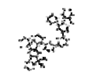 CC1(C)c2ccccc2C2C=C3C(=CC21)c1c(-c2cccc(-c4cccc(-c5nc(-c6ccccc6)c6c(n5)sc5ccccc56)c4)c2)cccc1C31CCCCC1